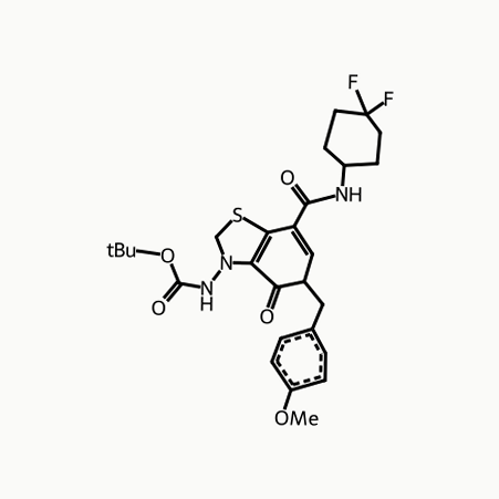 COc1ccc(CC2C=C(C(=O)NC3CCC(F)(F)CC3)C3=C(C2=O)N(NC(=O)OC(C)(C)C)CS3)cc1